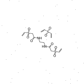 C=CS(=O)(=O)C=C.C=CS(=O)(=O)CC(=O)NCCNC(=O)CS(=O)(=O)C=C